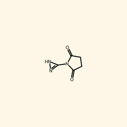 O=C1CCC(=O)N1C1=NN1